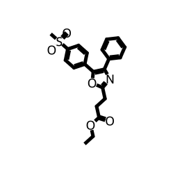 CCOC(=O)CCc1nc(-c2ccccc2)c(-c2ccc(S(C)(=O)=O)cc2)o1